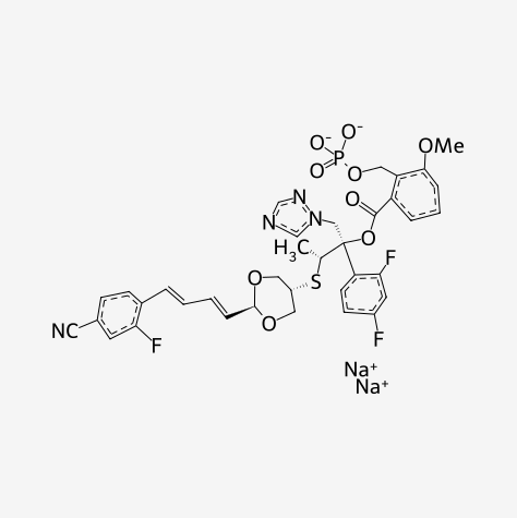 COc1cccc(C(=O)O[C@@](Cn2cncn2)(c2ccc(F)cc2F)[C@@H](C)S[C@H]2CO[C@H](C=CC=Cc3ccc(C#N)cc3F)OC2)c1COP(=O)([O-])[O-].[Na+].[Na+]